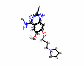 CNc1nc(C)nc2cc(OCCCN3CCCC3)c(OC)cc12